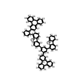 c1ccc(-c2cccc3c2oc2ccc(-c4cc(-c5ccc6c7ccccc7c7ccccc7c6c5)cc(-c5cccc6c5oc5ccccc56)c4)cc23)c(-c2ccc3c4ccccc4c4ccccc4c3c2)c1